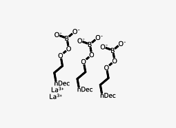 CCCCCCCCCCCCOOB([O-])[O-].CCCCCCCCCCCCOOB([O-])[O-].CCCCCCCCCCCCOOB([O-])[O-].[La+3].[La+3]